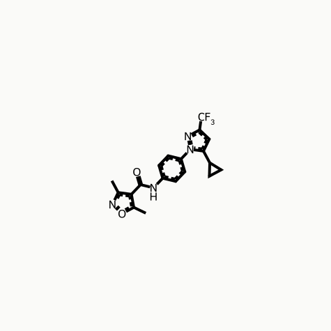 Cc1noc(C)c1C(=O)Nc1ccc(-n2nc(C(F)(F)F)cc2C2CC2)cc1